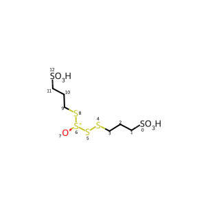 O=S(=O)(O)CCCSS[S+]([O-])SCCCS(=O)(=O)O